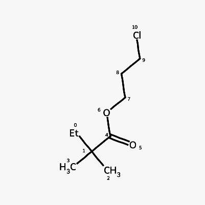 CCC(C)(C)C(=O)OCCCCl